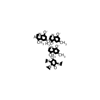 Cc1cc([O-])c2nccc(C)c2c1.Cc1cc([O-])c2nccc(C)c2c1.Cc1cc([O-])c2nccc(C)c2c1.O=C1C=C(N2CC2)C(=O)C(N2CC2)=C1N1CC1.[Al+3]